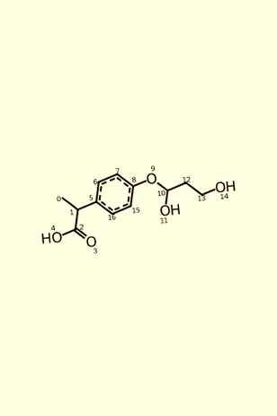 CC(C(=O)O)c1ccc(OC(O)CCO)cc1